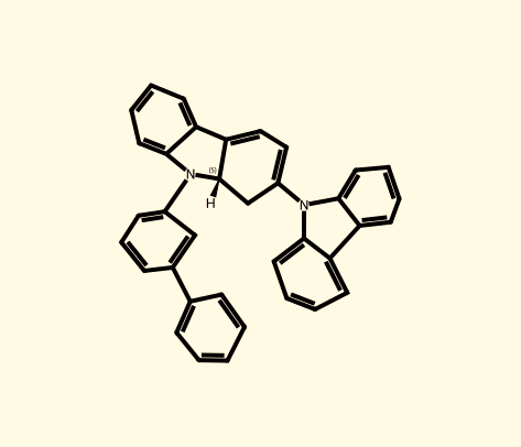 C1=C2c3ccccc3N(c3cccc(-c4ccccc4)c3)[C@H]2CC(n2c3ccccc3c3ccccc32)=C1